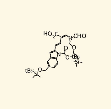 CC(C)(C)OC(=O)n1c(/C=C/C(=C\N(C=O)COCC[Si](C)(C)C)C(=O)O)cc2cc(CO[Si](C)(C)C(C)(C)C)ccc21